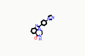 O=C1NCCn2c(-c3ccc(-n4ccnc4)cc3)nc3cccc1c32